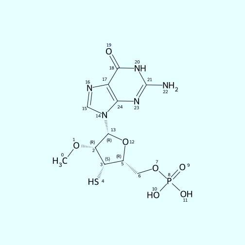 CO[C@H]1[C@@H](S)[C@@H](COP(=O)(O)O)O[C@H]1n1cnc2c(=O)[nH]c(N)nc21